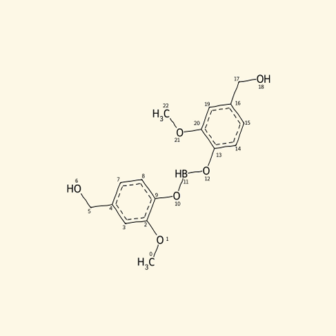 COc1cc(CO)ccc1OBOc1ccc(CO)cc1OC